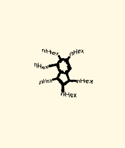 CCCCCCC1=C(CCCCCC)C(CCCCCC)c2cc(CCCCCC)c(CCCCCC)c(CCCCCC)c21